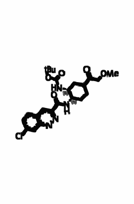 COCC(=O)C1CC[C@H](NC(=O)c2cc3ccc(Cl)cc3nn2)[C@H](NC(=O)OC(C)(C)C)C1